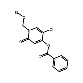 CCOCn1cc(Cl)c(OC(=O)c2ccccc2)cc1=O